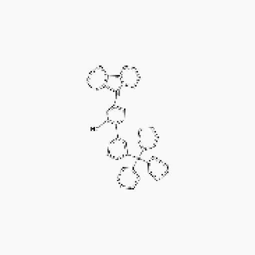 N#Cc1cc(-n2c3ccccc3c3ccccc32)ccc1-c1cccc([Si](c2ccccc2)(c2ccccc2)c2ccccc2)c1